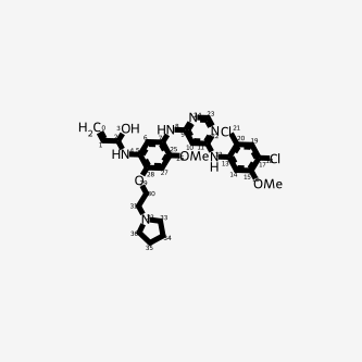 C=CC(O)Nc1cc(Nc2cc(Nc3cc(OC)c(Cl)cc3Cl)ncn2)c(OC)cc1OCCN1CCCC1